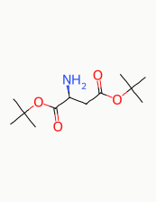 CC(C)(C)OC(=O)C[C@H](N)C(=O)OC(C)(C)C